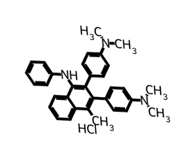 Cc1c(-c2ccc(N(C)C)cc2)c(-c2ccc(N(C)C)cc2)c(Nc2ccccc2)c2ccccc12.Cl